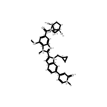 COc1cc(C(=O)N2C[C@H]3CC[C@@H]2[C@@H]3N)cc2nc(-c3cc4ccc(-c5ccn(C)c(=O)c5)cc4n3CC3CC3)n(C)c12